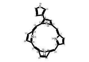 C1=Cc2cc3cc(-c4ccsc4)c(cc4nc(cc5ccc(cc1n2)[nH]5)C=C4)[nH]3